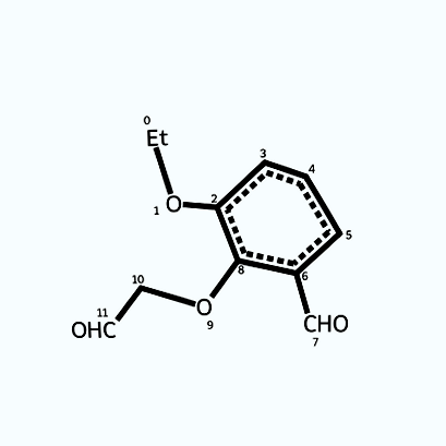 CCOc1cccc(C=O)c1OCC=O